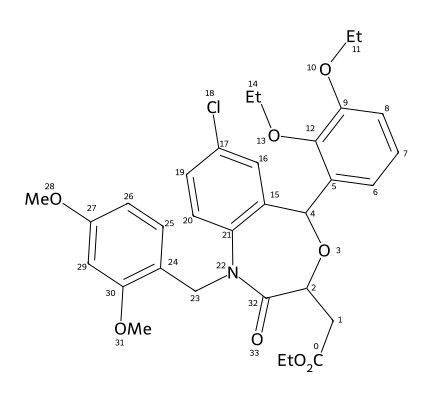 CCOC(=O)CC1OC(c2cccc(OCC)c2OCC)c2cc(Cl)ccc2N(Cc2ccc(OC)cc2OC)C1=O